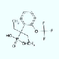 CCC(CC)(c1ccccc1OC(F)(F)F)P(=O)(O)O